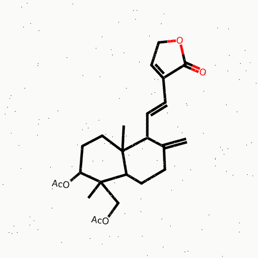 C=C1CCC2C(C)(COC(C)=O)C(OC(C)=O)CCC2(C)C1/C=C/C1=CCOC1=O